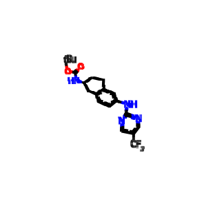 CC(C)(C)OC(=O)N[C@H]1CCc2cc(Nc3ncc(C(F)(F)F)cn3)ccc2C1